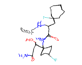 CCOC(=O)NC(CC1(F)CCCC1)C(=O)NC1(C(O)C(N)=O)CC(F)C1